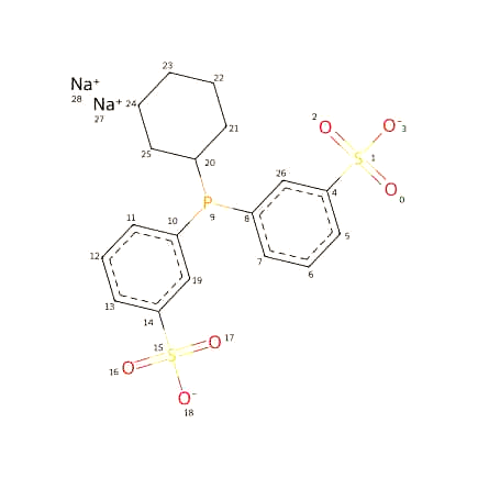 O=S(=O)([O-])c1cccc(P(c2cccc(S(=O)(=O)[O-])c2)C2CCCCC2)c1.[Na+].[Na+]